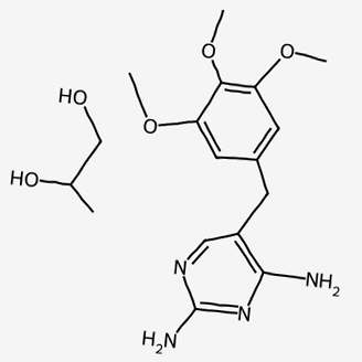 CC(O)CO.COc1cc(Cc2cnc(N)nc2N)cc(OC)c1OC